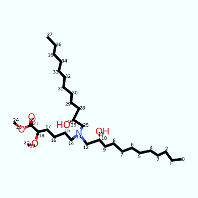 CCCCCCCCCC[C@@H](O)CN(CCCCC(OC)C(=O)OC)C[C@H](O)CCCCCCCCCC